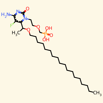 CCCCCCCCCCCCCCCCCCOC(C)c1c(F)c(N)nc(=O)n1CCOCP(=O)(O)O